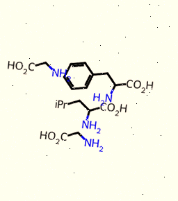 CC(C)CC(N)C(=O)O.NC(Cc1ccccc1)C(=O)O.NCC(=O)O.NCC(=O)O